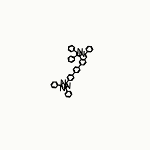 c1ccc(-c2nc(-c3ccccc3)nc(-c3ccc(-c4ccc(-c5ccc6cc(-c7ccccc7)n7nc(-c8ccccc8)c(-c8ccccc8)c7c6c5)cc4)cc3)n2)cc1